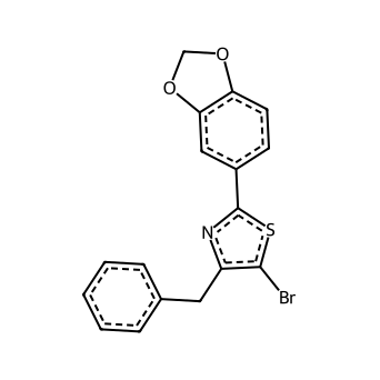 Brc1sc(-c2ccc3c(c2)OCO3)nc1Cc1ccccc1